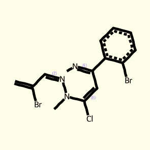 C=C(Br)/C=N\N(C)/C(Cl)=C\C(=N/C)c1ccccc1Br